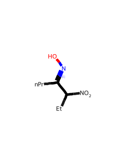 CCC/C(=N\O)C(CC)[N+](=O)[O-]